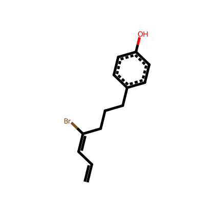 C=C/C=C(/Br)CCCc1ccc(O)cc1